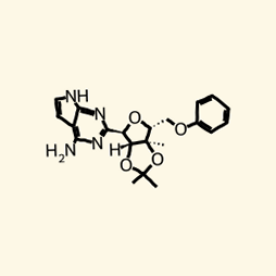 CC1(C)O[C@@H]2[C@@H](c3nc(N)c4cc[nH]c4n3)O[C@H](COc3ccccc3)[C@@]2(C)O1